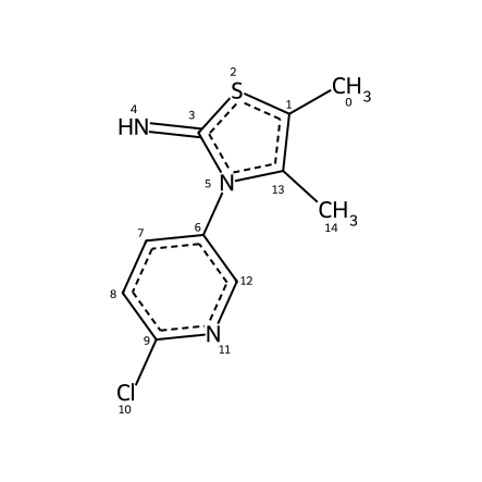 Cc1sc(=N)n(-c2ccc(Cl)nc2)c1C